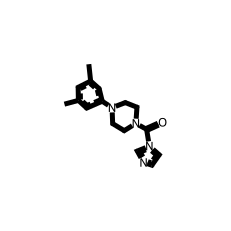 Cc1cc(C)cc(N2CCN(C(=O)n3ccnc3)CC2)c1